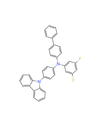 Fc1cc(F)cc(N(c2ccc(-c3ccccc3)cc2)c2ccc(-n3c4ccccc4c4ccccc43)cc2)c1